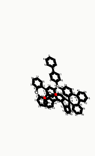 c1ccc(-c2ccc(N(c3ccc4c(c3)-c3ccccc3Oc3ccccc3-4)c3ccc4c(c3)C3(c5ccccc5-c5ccccc5-4)c4ccccc4-c4c3ccc3oc5ccccc5c43)cc2)cc1